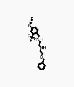 FC(F)(F)c1cc(N=C=S)ccc1CNCCNCCOCc1ccccc1